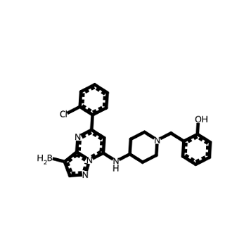 Bc1cnn2c(NC3CCN(Cc4ccccc4O)CC3)cc(-c3ccccc3Cl)nc12